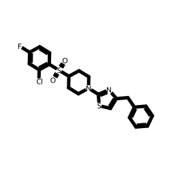 O=S(=O)(c1ccc(F)cc1Cl)C1CCN(c2nc(Cc3ccccc3)cs2)CC1